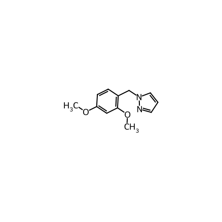 COc1ccc(Cn2cccn2)c(OC)c1